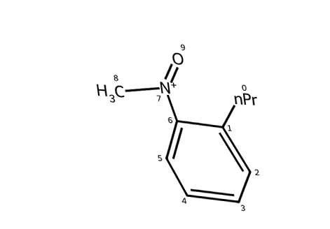 CCCc1ccccc1[N+](C)=O